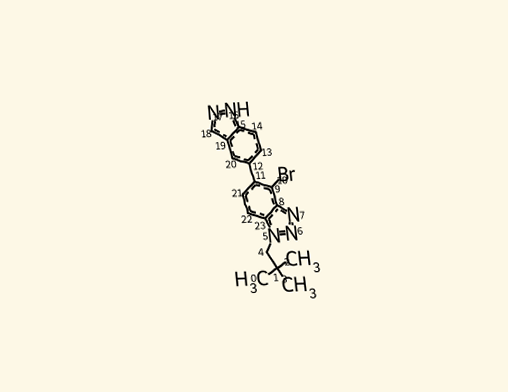 CC(C)(C)Cn1nnc2c(Br)c(-c3ccc4[nH]ncc4c3)ccc21